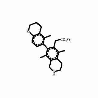 CCOC(=O)Cc1c(C)c2c(c(C)c1-c1ccc3c(c1C)CCCO3)CNCC2